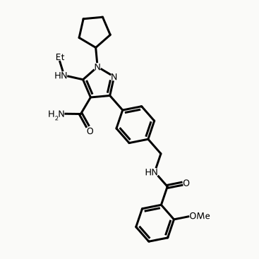 CCNc1c(C(N)=O)c(-c2ccc(CNC(=O)c3ccccc3OC)cc2)nn1C1CCCC1